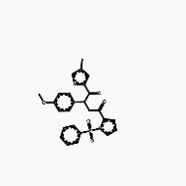 COc1ccc(C(CC(=O)c2cccn2S(=O)(=O)c2ccccc2)C(=O)c2cc(C)cs2)cc1